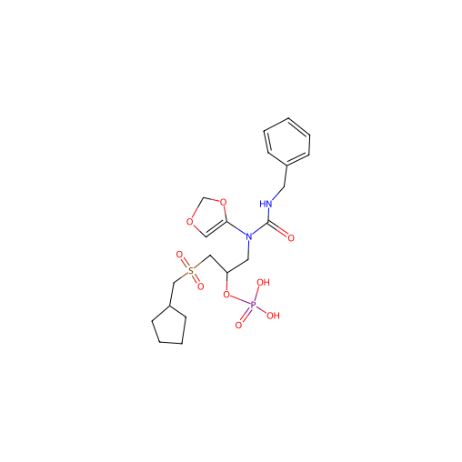 O=C(NCc1ccccc1)N(CC(CS(=O)(=O)CC1CCCC1)OP(=O)(O)O)C1=COCO1